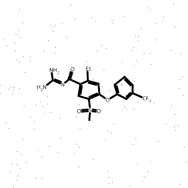 CCc1cc(Oc2cccc(C(F)(F)F)c2)c(S(C)(=O)=O)cc1C(=O)N=C(N)N